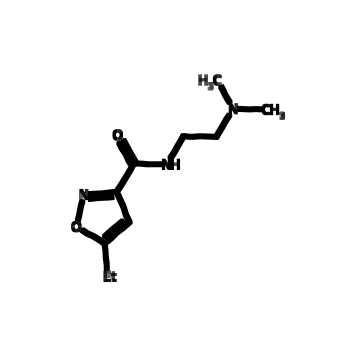 CCc1cc(C(=O)NCCN(C)C)no1